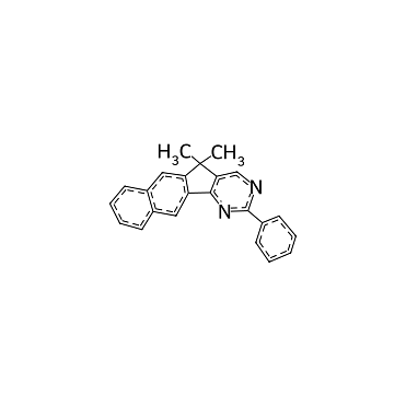 CC1(C)c2cc3ccccc3cc2-c2nc(-c3ccccc3)ncc21